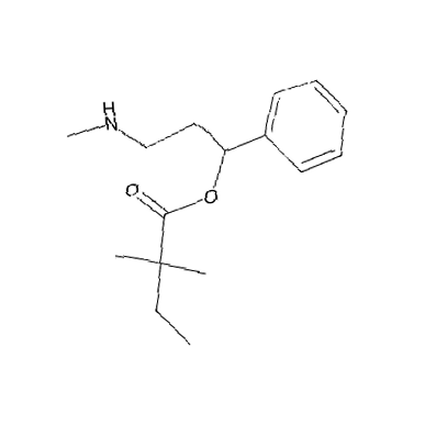 CCC(C)(C)C(=O)OC(CCNC)c1ccccc1